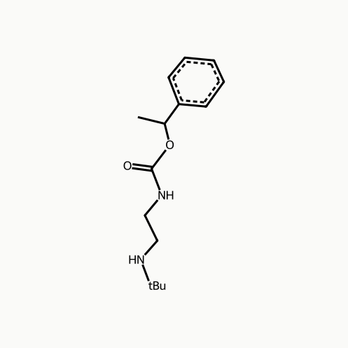 CC(OC(=O)NCCNC(C)(C)C)c1ccccc1